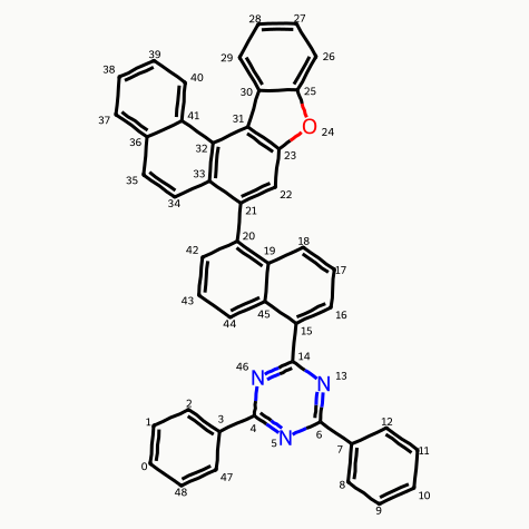 c1ccc(-c2nc(-c3ccccc3)nc(-c3cccc4c(-c5cc6oc7ccccc7c6c6c5ccc5ccccc56)cccc34)n2)cc1